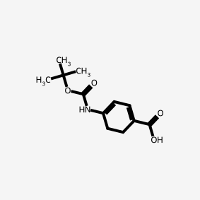 CC(C)(C)OC(=O)NC1=CC=C(C(=O)O)CC1